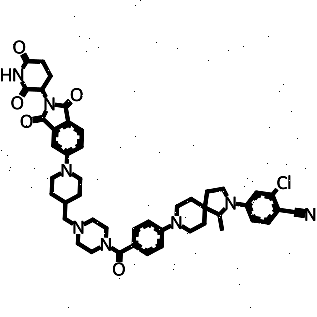 CC1N(c2ccc(C#N)c(Cl)c2)CCC12CCN(c1ccc(C(=O)N3CCN(CC4CCN(c5ccc6c(c5)C(=O)N(C5CCC(=O)NC5=O)C6=O)CC4)CC3)cc1)CC2